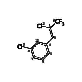 FC(F)(F)/C(Cl)=C/c1cccc(Cl)c1